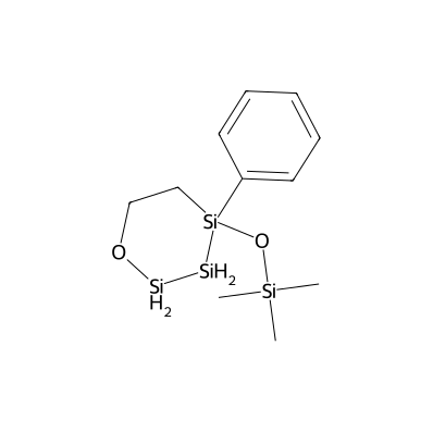 C[Si](C)(C)O[Si]1(c2ccccc2)CCO[SiH2][SiH2]1